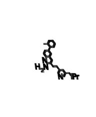 Cc1ccccc1-c1ccc2nc(N)c(/C=C/c3cncc(CC(C)C)c3)cc2c1